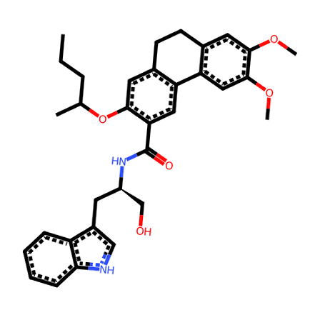 CCCC(C)Oc1cc2c(cc1C(=O)N[C@@H](CO)Cc1c[nH]c3ccccc13)-c1cc(OC)c(OC)cc1CC2